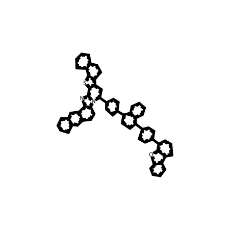 c1ccc2cc3c(ccc4c3nc3c5sc6c7ccccc7ccc6c5cc(-c5ccc(-c6ccc(-c7ccc(-c8cccc9c8oc8ccccc89)cc7)c7ccccc67)cc5)n43)cc2c1